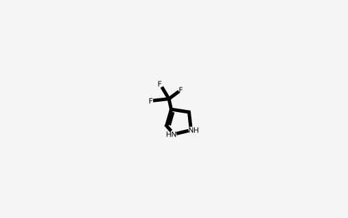 FC(F)(F)C1=[C]NNC1